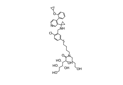 O=C([C@@H](O)[C@@H](O)[C@H](O)[C@@H](O)CO)N(CCCCO)CCCCSc1ccc(Cl)c(CNC2(c3cnccc3-c3ccccc3OC3CC3)CC2)c1